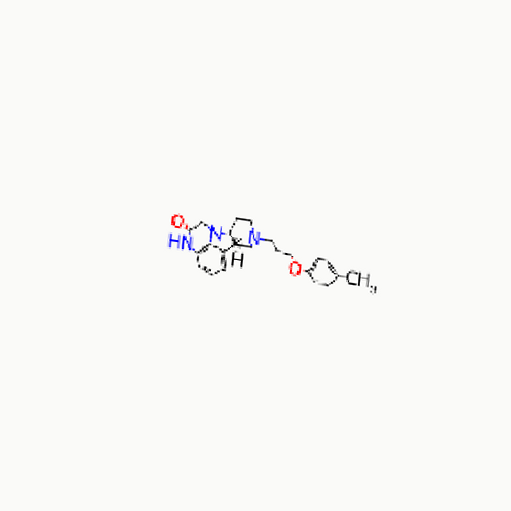 Cc1ccc(OCCCN2CCC3[C@@H](C2)c2cccc4c2N3CC(=O)N4)cc1